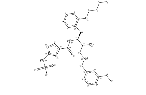 CCCCOc1ccccc1C[C@H](NC(=O)c1coc(NS(C)(=O)=O)n1)[C@H](O)CNCc1cccc(CC)c1